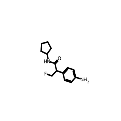 Nc1ccc(C(CF)C(=O)NC2CCCC2)cc1